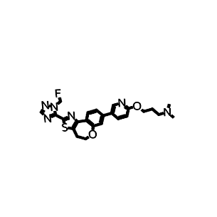 CN(C)CCCOc1ccc(-c2ccc3c(c2)OCCc2sc(-c4ncnn4CF)nc2-3)cn1